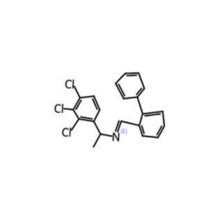 CC(/N=C/c1ccccc1-c1ccccc1)c1ccc(Cl)c(Cl)c1Cl